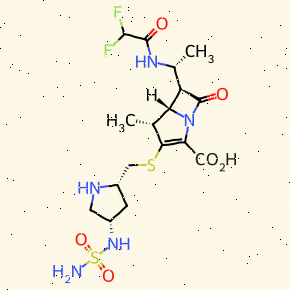 C[C@@H](NC(=O)C(F)F)[C@H]1C(=O)N2C(C(=O)O)=C(SC[C@@H]3C[C@H](NS(N)(=O)=O)CN3)[C@H](C)[C@H]12